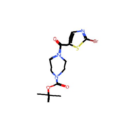 CC(C)(C)OC(=O)N1CCN(C(=O)c2cnc(Br)s2)CC1